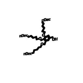 CCCCCCCCCCCCCCCCOc1cc(CO)cc(COCCCCCCCCCCCCCCC)c1COCCCCCCCCCCCCCCC